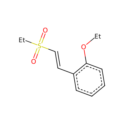 CCOc1ccccc1/C=C/S(=O)(=O)CC